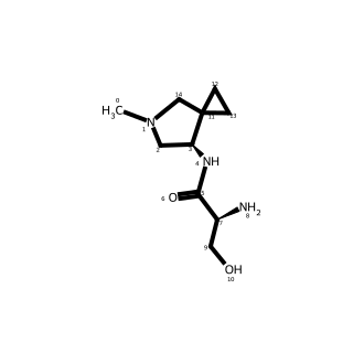 CN1C[C@H](NC(=O)[C@@H](N)CO)C2(CC2)C1